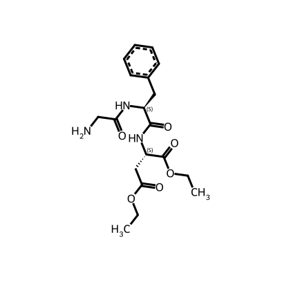 CCOC(=O)C[C@H](NC(=O)[C@H](Cc1ccccc1)NC(=O)CN)C(=O)OCC